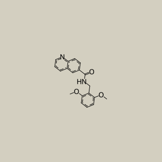 COc1cccc(OC)c1CNC(=O)c1ccc2ncccc2c1